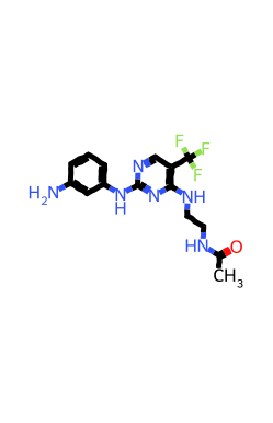 CC(=O)NCCNc1nc(Nc2cccc(N)c2)ncc1C(F)(F)F